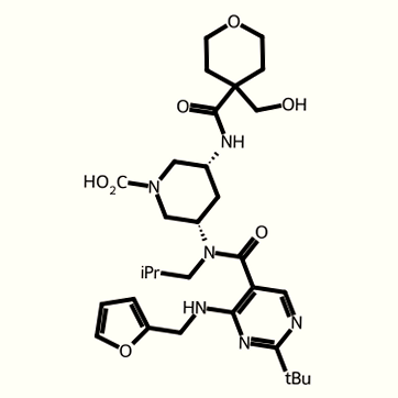 CC(C)CN(C(=O)c1cnc(C(C)(C)C)nc1NCc1ccco1)[C@H]1C[C@@H](NC(=O)C2(CO)CCOCC2)CN(C(=O)O)C1